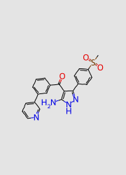 CS(=O)(=O)c1ccc(-c2n[nH]c(N)c2C(=O)c2cccc(-c3cccnc3)c2)cc1